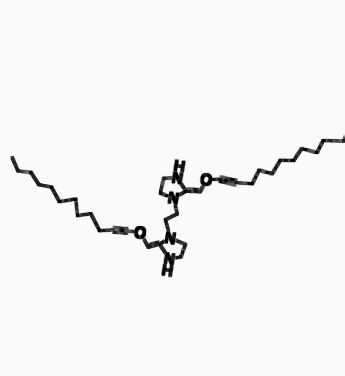 CCCCCCCCCCC#COC=C1NCCN1CCN1CCNC1=COC#CCCCCCCCCCC